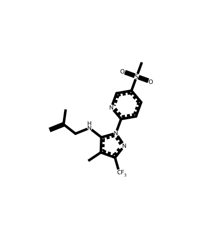 C=C(C)CNc1c(C)c(C(F)(F)F)nn1-c1ccc(S(C)(=O)=O)cn1